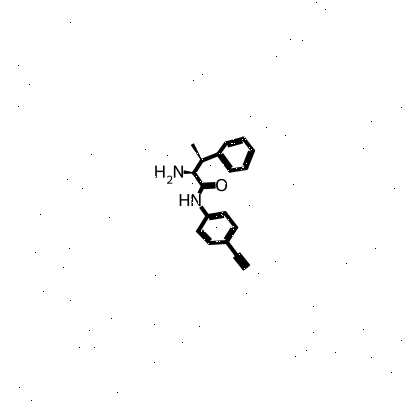 C#Cc1ccc(NC(=O)[C@@H](N)[C@@H](C)c2ccccc2)cc1